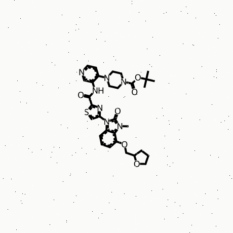 Cn1c(=O)n(-c2csc(C(=O)Nc3cnccc3N3CCN(C(=O)OC(C)(C)C)CC3)n2)c2cccc(OCC3CCCO3)c21